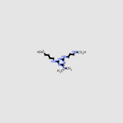 CCCCCCCCCCCCCCNc1nc(NCCCNC(=O)O)nc(N(C)C)n1